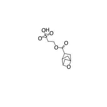 O=C(OCCS(=O)(=O)O)C1CC23CC(O2)C1C3